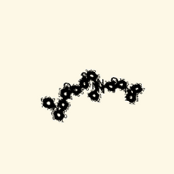 c1ccc(-c2nc(-c3ccc4c(c3)oc3ccc(-n5c6ccccc6c6ccccc65)cc34)nc(-c3cccc4sc5cc(-c6ccc7c(c6)oc6ccc(-c8ccc9c%10ccccc%10n(-c%10ccccc%10)c9c8)cc67)ccc5c34)n2)cc1